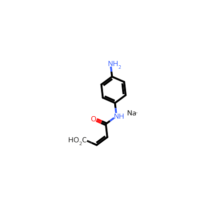 Nc1ccc(NC(=O)/C=C\C(=O)O)cc1.[Na]